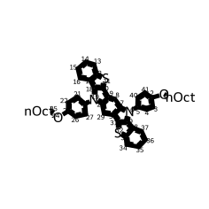 CCCCCCCCOc1ccc(-n2c3cc4c5sc6ccccc6c5n(-c5ccc(OCCCCCCCC)cc5)c4cc3c3sc4ccccc4c32)cc1